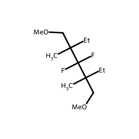 CCC(C)(COC)C(F)(F)C(C)(CC)COC